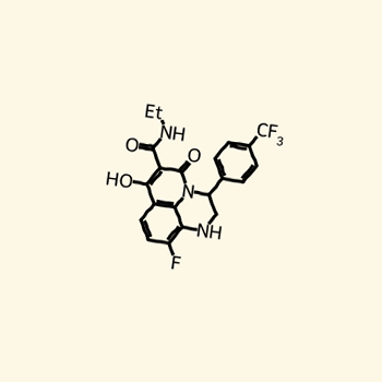 CCNC(=O)c1c(O)c2ccc(F)c3c2n(c1=O)C(c1ccc(C(F)(F)F)cc1)CN3